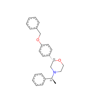 C[C@@H](c1ccccc1)N1CCO[C@@H](c2ccc(OCc3ccccc3)cc2)C1